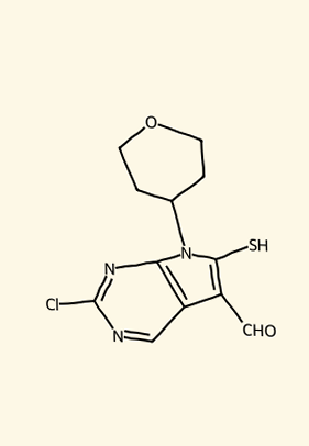 O=Cc1c(S)n(C2CCOCC2)c2nc(Cl)ncc12